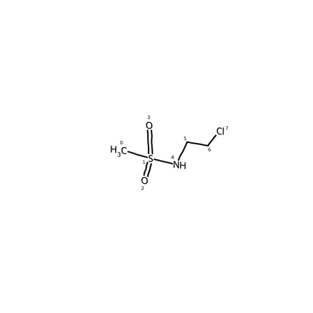 CS(=O)(=O)NCCCl